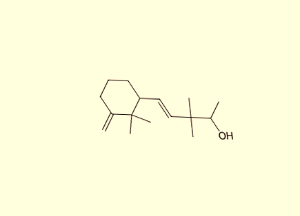 C=C1CCCC(C=CC(C)(C)C(C)O)C1(C)C